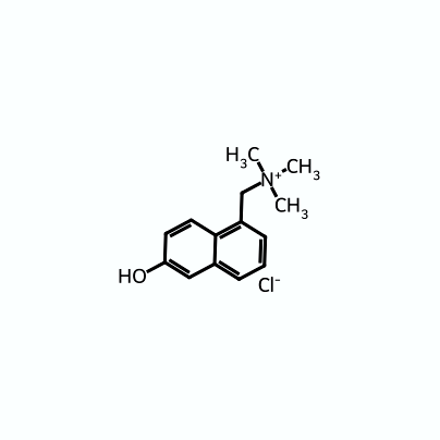 C[N+](C)(C)Cc1cccc2cc(O)ccc12.[Cl-]